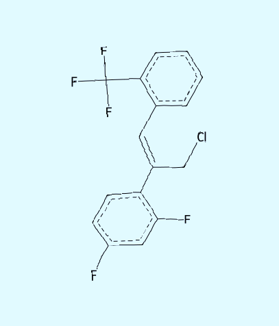 Fc1ccc(/C(=C/c2ccccc2C(F)(F)F)CCl)c(F)c1